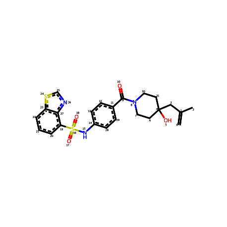 C=C(C)CC1(O)CCN(C(=O)c2ccc(NS(=O)(=O)c3cccc4scnc34)cc2)CC1